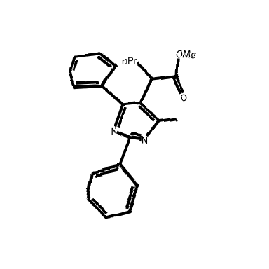 CCCC(C(=O)OC)c1c(C)nc(-c2ccccc2)nc1-c1ccccc1